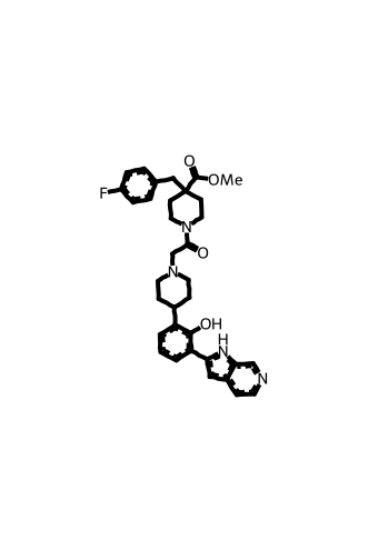 COC(=O)C1(Cc2ccc(F)cc2)CCN(C(=O)CN2CCC(c3cccc(-c4cc5ccncc5[nH]4)c3O)CC2)CC1